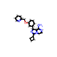 Nc1nccn2c(C3CCC3)nc(-c3cccc(OCc4ccccn4)c3)c12